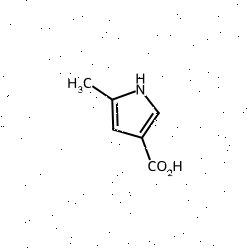 Cc1cc(C(=O)O)c[nH]1